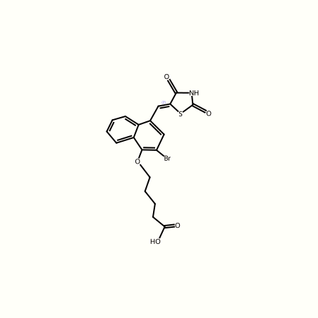 O=C(O)CCCCOc1c(Br)cc(/C=C2\SC(=O)NC2=O)c2ccccc12